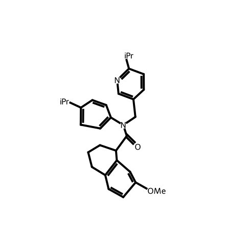 COc1ccc2c(c1)C(C(=O)N(Cc1ccc(C(C)C)nc1)c1ccc(C(C)C)cc1)CCC2